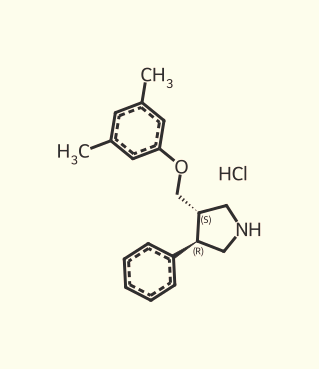 Cc1cc(C)cc(OC[C@@H]2CNC[C@H]2c2ccccc2)c1.Cl